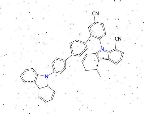 CC1CC=Cc2c1c1cccc(C#N)c1n2-c1ccc(C#N)cc1-c1ccc(-c2ccc(N3c4ccccc4C4C=CC=CC43)cc2)cc1